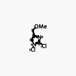 COCc1cn(Cl)c(Cl)n1